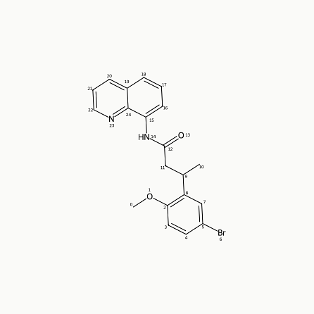 COc1ccc(Br)cc1C(C)CC(=O)Nc1cccc2cccnc12